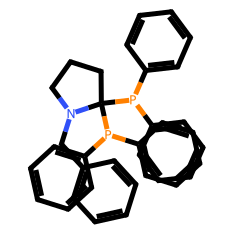 c1ccc(CN2CCCC2(P(c2ccccc2)c2ccccc2)P(c2ccccc2)c2ccccc2)cc1